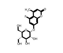 Cc1cc(=O)oc2cc(O[C@H]3O[C@H](CO)[C@@H](CO)[C@H](O)[C@H]3O)cc(F)c12